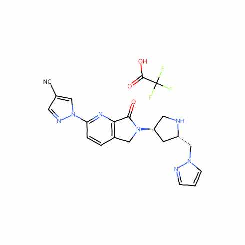 N#Cc1cnn(-c2ccc3c(n2)C(=O)N([C@H]2CN[C@H](Cn4cccn4)C2)C3)c1.O=C(O)C(F)(F)F